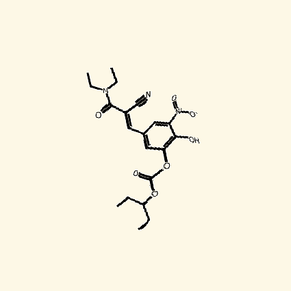 CCC(CC)OC(=O)Oc1cc(/C=C(\C#N)C(=O)N(CC)CC)cc([N+](=O)[O-])c1O